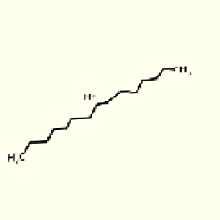 CCCCCCCCCCCCCCC.F